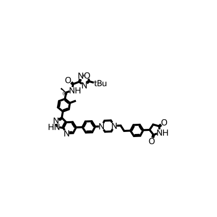 Cc1cc(-c2n[nH]c3ncc(-c4ccc(N5CCN(CCc6ccc(C7CC(=O)NC7=O)cc6)CC5)cc4)cc23)ccc1[C@@H](C)NC(=O)c1noc(C(C)(C)C)n1